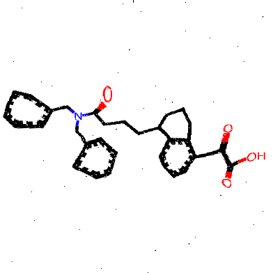 O=C(O)C(=O)c1cccc2c1CCCC2CCCC(=O)N(Cc1ccccc1)Cc1ccccc1